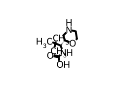 CC(C)(C)C(NC(=O)O)[C@@H]1CNCCO1